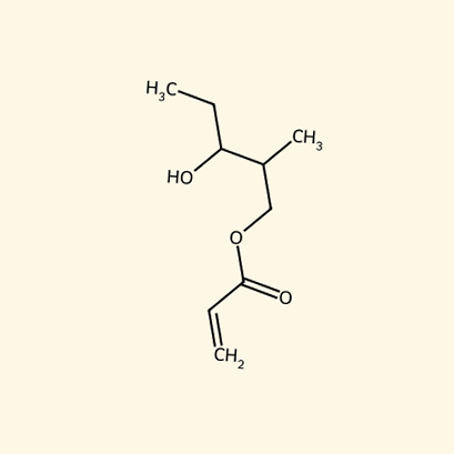 C=CC(=O)OCC(C)C(O)CC